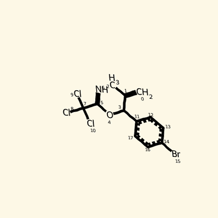 C=C(C)C(OC(=N)C(Cl)(Cl)Cl)c1ccc(Br)cc1